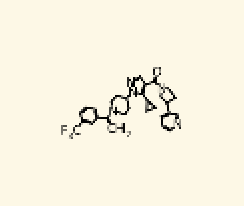 C=C(c1cccc(C(F)(F)F)c1)N1CCC(n2ncc(C(=O)N3CCC(c4cccnc4)C3)c2C2CC2)CC1